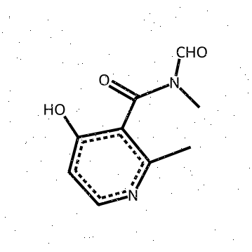 Cc1nccc(O)c1C(=O)N(C)C=O